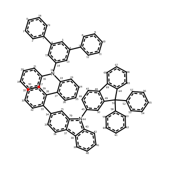 c1ccc(-c2cc(-c3ccccc3)cc(N(c3ccccc3)c3ccccc3-c3ccccc3-c3ccc4c5ccccc5n(-c5ccc6c(c5)C(c5ccccc5)(c5ccccc5)c5ccccc5-6)c4c3)c2)cc1